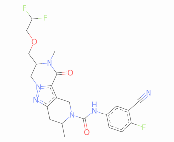 CC1Cc2nn3c(c2CN1C(=O)Nc1ccc(F)c(C#N)c1)C(=O)N(C)C(COCC(F)F)C3